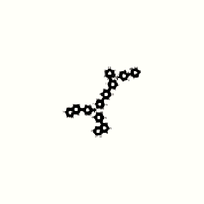 c1ccc(-c2ccc(-n3c4ccccc4c4cc(-c5ccc(-c6ccc(N(c7ccc(-c8ccc9ccccc9c8)cc7)c7ccc(-c8cccc9ccccc89)cc7)cc6)cc5)ccc43)cc2)cc1